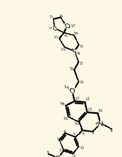 COc1ccc(C2CN(C)Cc3cc(OCCCN4CCC5(CC4)OCCO5)ccc32)cc1